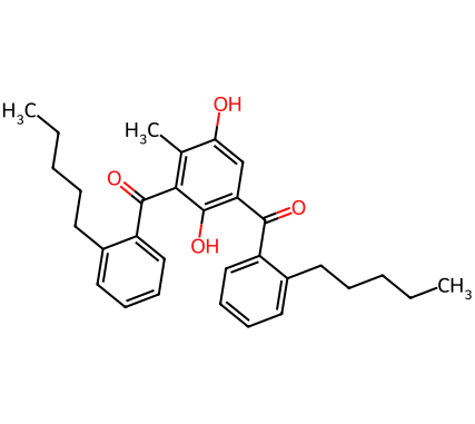 CCCCCc1ccccc1C(=O)c1cc(O)c(C)c(C(=O)c2ccccc2CCCCC)c1O